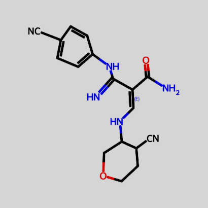 N#Cc1ccc(NC(=N)/C(=C\NC2COCCC2C#N)C(N)=O)cc1